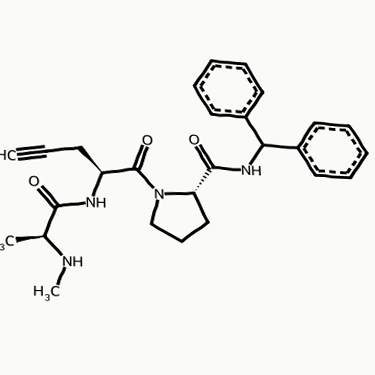 C#CC[C@H](NC(=O)[C@H](C)NC)C(=O)N1CCC[C@H]1C(=O)NC(c1ccccc1)c1ccccc1